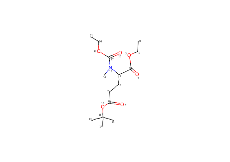 CCOC(=O)C(CCC(=O)OC(C)(C)C)N(C)C(=O)OCC